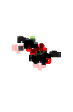 BC1OC(C(C)(C)C)C(OP(=O)(N[S+](C)[O-])OCC2OC(B)C(C(C)C)C2F)C1C